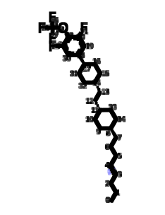 CCC/C=C/CCC[C@H]1CC[C@H](CC[C@H]2CC[C@H](c3cc(F)c(OC(F)(F)F)c(F)c3)CC2)CC1